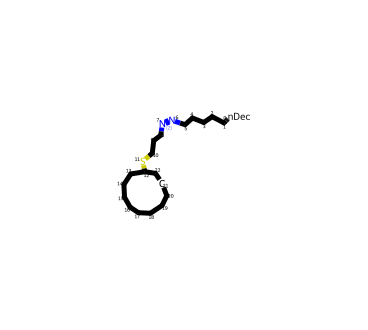 CCCCCCCCCCCCCCC/N=N\CCCSC1CCCCCCCCCC1